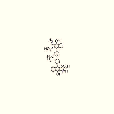 [H]/N=N/c1c(S(=O)(=O)O)c(-c2ccc(-c3ccc(-c4c(S(=O)(=O)O)c(/N=N/[H])c(O)c5ccccc45)cc3C)c(C)c2)c2ccccc2c1O